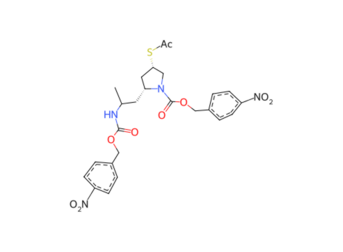 CC(=O)S[C@H]1C[C@@H](CC(C)NC(=O)OCc2ccc([N+](=O)[O-])cc2)N(C(=O)OCc2ccc([N+](=O)[O-])cc2)C1